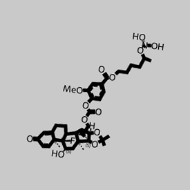 COc1cc(C(=O)OCCCCC(C)ON(O)O)ccc1OC(=O)OCC(=O)[C@@]12OC(C)(C)O[C@@H]1CC1C3CCC4=CC(=O)C=C[C@]4(C)[C@@]3(F)[C@@H](O)C[C@@]12C